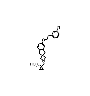 O=C(O)C1(CN2CC3(Cc4ccc(OCCc5cccc(Cl)c5)cc4C3)C2)CC1